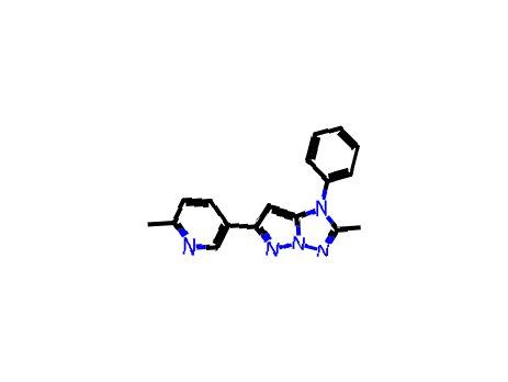 Cc1ccc(-c2cc3n(-c4ccccc4)c(C)nn3n2)cn1